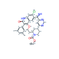 Cc1cc(C)cc(-c2c(OCCC3CCCCN3C(=O)OC(C)(C)C)c3cc(C(=N)c4ccncn4)c(Cl)cc3[nH]c2=O)c1